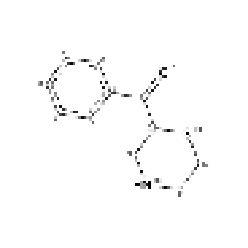 O=C(c1ccccc1)C1CNCCS1